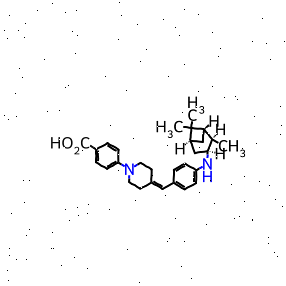 C[C@H]1[C@@H](Nc2ccc(C=C3CCN(c4ccc(C(=O)O)cc4)CC3)cc2)C[C@@H]2C[C@@H]1C2(C)C